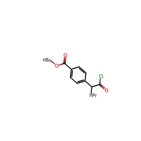 CCCCOC(=O)c1ccc(C(CCC)C(=O)Cl)cc1